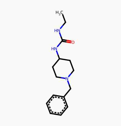 CCNC(=O)NC1CCN(Cc2ccccc2)CC1